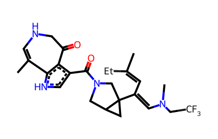 CC/C(C)=C\C(=C/N(C)CC(F)(F)F)C12CC1CN(C(=O)c1c[nH]c3c1C(=O)CNC=C3C)C2